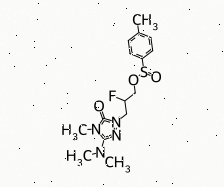 Cc1ccc(S(=O)OCC(F)Cn2nc(N(C)C)n(C)c2=O)cc1